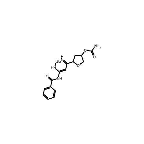 CC(C)(C)N/C(=C\C(=N)C1CC(OC(N)=O)CO1)NC(=O)c1ccccc1